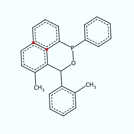 Cc1ccccc1C(OP(c1ccccc1)c1ccccc1)c1ccccc1C